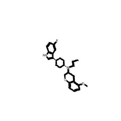 CCCN(C1COc2cccc(OC)c2C1)[C@H]1CC[C@H](c2c[nH]c3ccc(F)cc32)CC1